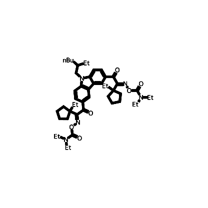 CCCCC(CC)Cn1c2ccc(C(=O)/C(=N/OC(=O)N(CC)CC)C3(CC)CCCC3)cc2c2cc(C(=O)/C(=N/OC(=O)N(CC)CC)C3(CC)CCCC3)ccc21